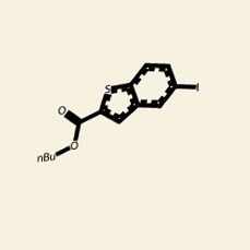 CCCCOC(=O)c1cc2cc(I)ccc2s1